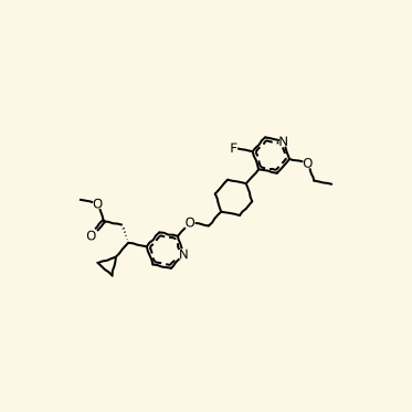 CCOc1cc(C2CCC(COc3cc([C@@H](CC(=O)OC)C4CC4)ccn3)CC2)c(F)cn1